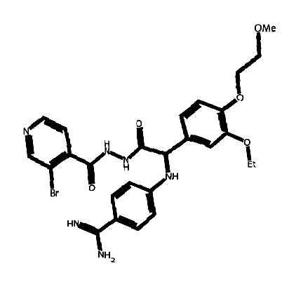 CCOc1cc(C(Nc2ccc(C(=N)N)cc2)C(=O)NNC(=O)c2ccncc2Br)ccc1OCCOC